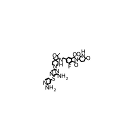 C[C@@H]1OCC2(CCN(c3cnc(Sc4ccnc(N)c4)c(N)n3)CC2)[C@@H]1NCc1cc(F)c2c(c1)C(=O)N(C1CCC(=O)NC1=O)C2=O